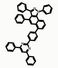 c1ccc(-c2cc(-c3ccccc3)nc(-c3ccc(-c4cccc5c4cc(-c4ccccc4)c4c(-c6ccccc6)nn(-c6ccccc6)c45)cc3)n2)cc1